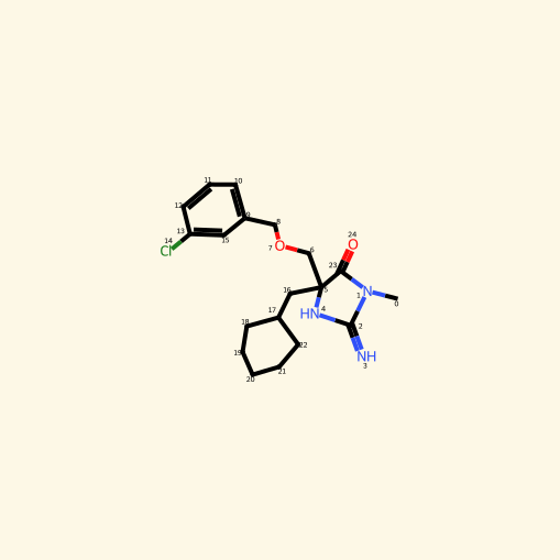 CN1C(=N)NC(COCc2cccc(Cl)c2)(CC2CCCCC2)C1=O